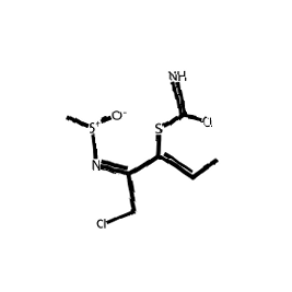 C/C=C(SC(=N)Cl)/C(CCl)=N\[S+](C)[O-]